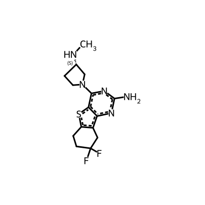 CN[C@H]1CCN(c2nc(N)nc3c4c(sc23)CCC(F)(F)C4)C1